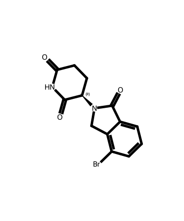 O=C1CC[C@@H](N2Cc3c(Br)cccc3C2=O)C(=O)N1